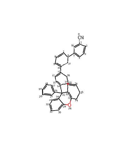 N#Cc1cccc(C2C=CC=C(C3=CC=C(C4(c5ccccc5)C5=C(CCC=C5)Oc5ccccc54)CC3)C2)c1